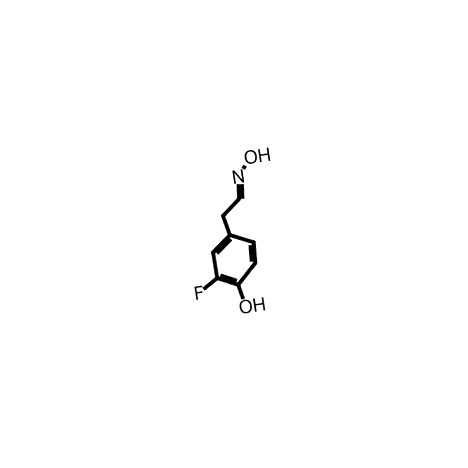 O/N=C/Cc1ccc(O)c(F)c1